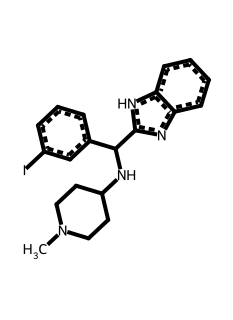 CN1CCC(NC(c2cccc(I)c2)c2nc3ccccc3[nH]2)CC1